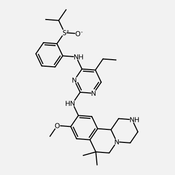 CCc1cnc(Nc2cc3c(cc2OC)C(C)(C)CN2CCNCC32)nc1Nc1ccccc1[S+]([O-])C(C)C